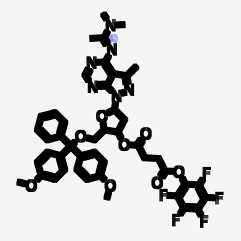 COc1ccc(C(OCC2OC(n3nc(C)c4c(/N=C(\C)N(C)C)ncnc43)CC2OC(=O)CCC(=O)Oc2c(F)c(F)c(F)c(F)c2F)(c2ccccc2)c2ccc(OC)cc2)cc1